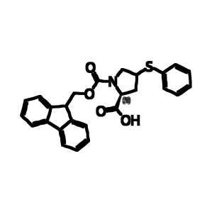 O=C(O)[C@@H]1CC(Sc2ccccc2)CN1C(=O)OCC1c2ccccc2-c2ccccc21